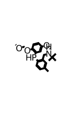 COCOc1ccc(OC)cc1Pc1ccc(C)cc1CNC(C)(C)C